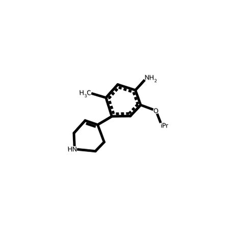 Cc1cc(N)c(OC(C)C)cc1C1=CCNCC1